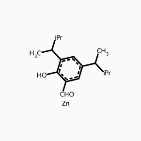 CC(C)C(C)c1cc(C=O)c(O)c(C(C)C(C)C)c1.[Zn]